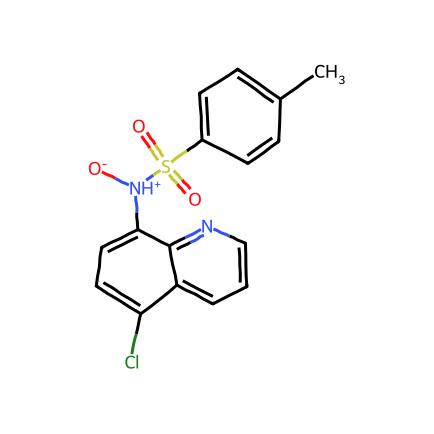 Cc1ccc(S(=O)(=O)[NH+]([O-])c2ccc(Cl)c3cccnc23)cc1